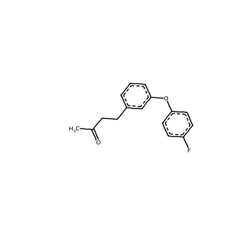 CC(=O)CCc1cccc(Oc2ccc(F)cc2)c1